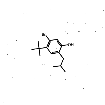 CC(C)Cc1cc(C(C)(C)C)c(Br)cc1O